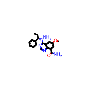 CCC(c1ccccc1)N(N)c1ncnc2c(C(N)=O)cc(OC)cc12